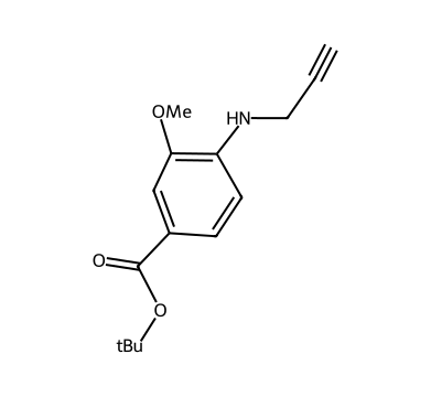 C#CCNc1ccc(C(=O)OC(C)(C)C)cc1OC